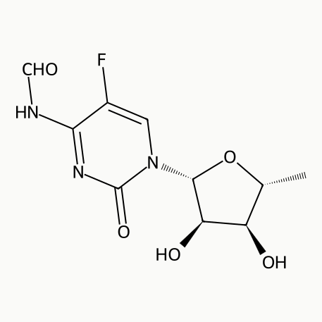 C[C@H]1O[C@@H](n2cc(F)c(NC=O)nc2=O)[C@H](O)[C@@H]1O